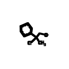 CC(Cl)(C[O])c1ccccc1